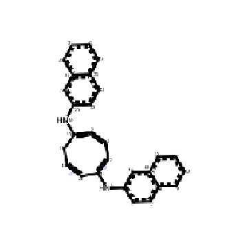 C1=C/C=C(Nc2ccc3ccccc3c2)\C=C/CC=1Nc1ccc2ccccc2c1